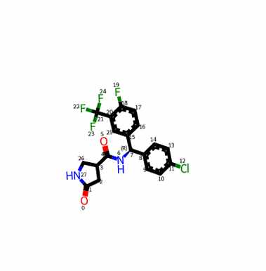 O=C1CC(C(=O)N[C@H](c2ccc(Cl)cc2)c2ccc(F)c(C(F)(F)F)c2)CN1